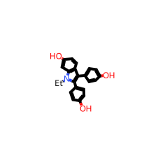 CCn1c(-c2ccc(O)cc2)c(-c2ccc(O)cc2)c2ccc(O)cc21